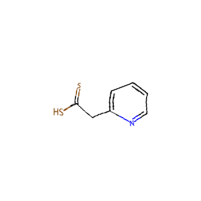 S=C(S)Cc1ccccn1